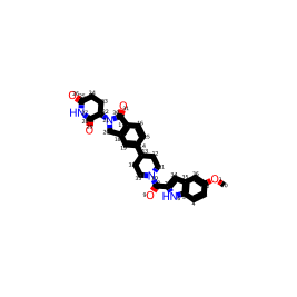 COc1ccc2[nH]c(C(=O)N3CCC(c4ccc5c(c4)CN(C4CCC(=O)NC4=O)C5=O)CC3)cc2c1